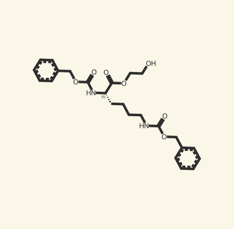 O=C(NCCCC[C@H](NC(=O)OCc1ccccc1)C(=O)OCCO)OCc1ccccc1